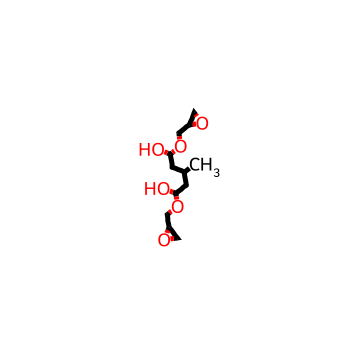 CC(CC(O)OCC1CO1)CC(O)OCC1CO1